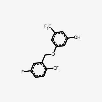 Oc1cc(OCc2cc(F)ccc2C(F)(F)F)cc(C(F)(F)F)c1